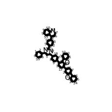 c1ccc(-c2cc(-c3ccc(-c4ccc(-c5ccc6c(c5)oc5ccccc56)c5oc6ccccc6c45)cc3)nc(-c3ccc(-c4ccnc5ccccc45)cc3)n2)cc1